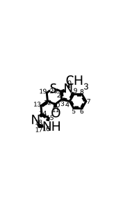 Cn1c2c(c3ccccc31)C(=O)/C(=C\c1c[nH]cn1)CS2